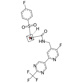 O=C(NCc1cc(-c2cnc(C(F)(F)F)nc2)ncc1F)[C@@H]1C2CC(C2)N1S(=O)(=O)c1ccc(F)cc1